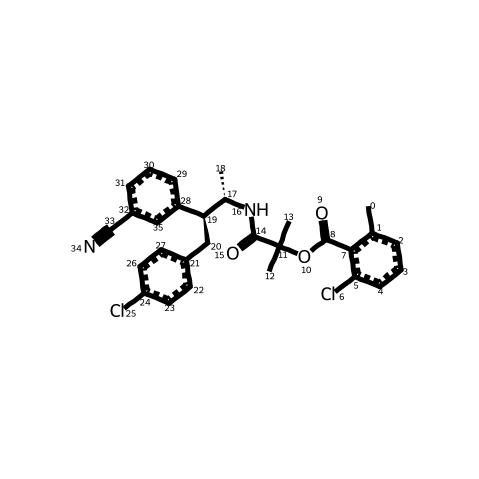 Cc1cccc(Cl)c1C(=O)OC(C)(C)C(=O)N[C@@H](C)[C@@H](Cc1ccc(Cl)cc1)c1cccc(C#N)c1